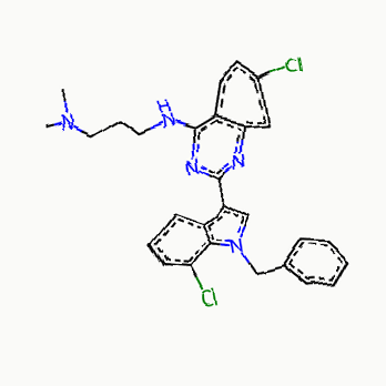 CN(C)CCCNc1nc(-c2cn(Cc3ccccc3)c3c(Cl)cccc23)nc2cc(Cl)ccc12